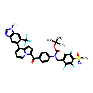 Cn1cnc2cc(-c3cccn4c(C(=O)c5ccc(N(Cc6c(F)c(F)c(S(C)(=N)=O)c(F)c6F)C(=O)OC(C)(C)C)cc5)ccc34)c(C(F)(F)F)cc21